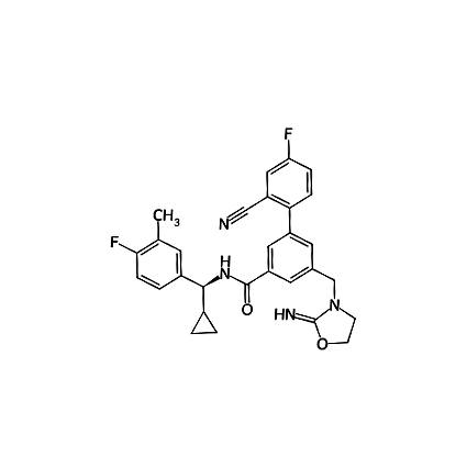 Cc1cc([C@@H](NC(=O)c2cc(CN3CCOC3=N)cc(-c3ccc(F)cc3C#N)c2)C2CC2)ccc1F